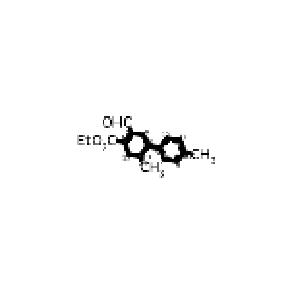 CCOC(=O)C1=C(C=O)CC(c2ccc(C)cc2)C(C)C1